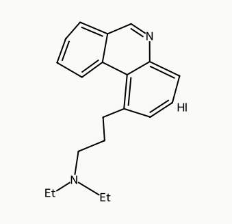 CCN(CC)CCCc1cccc2ncc3ccccc3c12.I